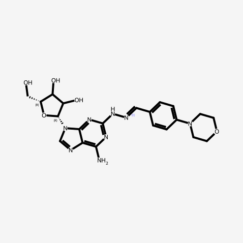 Nc1nc(N/N=C/c2ccc(N3CCOCC3)cc2)nc2c1ncn2[C@@H]1O[C@H](CO)C(O)C1O